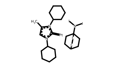 Cc1cn(C2CCCCC2)[c](=[Pt])n1C1CCCCC1.IN(I)C12CCC(CC1)CC2